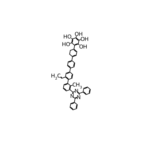 C=Cc1cc(-c2ccc(C3=CC=C(c4c(O)c(O)c(O)c(O)c4O)CC3)cc2)ccc1-c1cccc(-c2nc(-c3ccccc3)nc(-c3ccccc3)n2)c1C